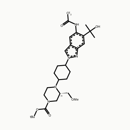 COC[C@@H]1CN(C(=O)OC(C)(C)C)CCN1C1CCC(n2cc3cc(NC(=O)C(F)(F)F)c(C(C)(C)O)cc3n2)CC1